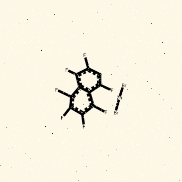 Fc1[c]c(F)c2c(F)c(F)c(F)c(F)c2c1F.[Br][Zn][Br]